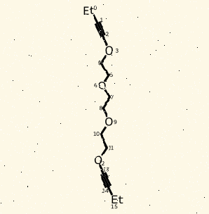 CCC#COCCOCCOCCOC#CCC